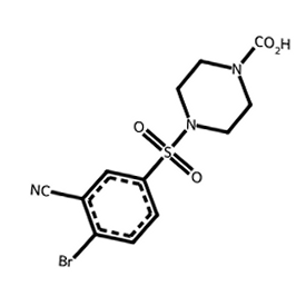 N#Cc1cc(S(=O)(=O)N2CCN(C(=O)O)CC2)ccc1Br